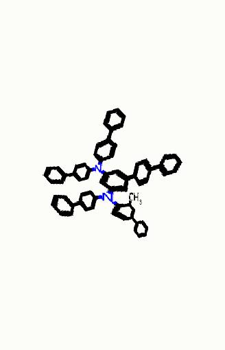 CC1C=C(c2ccccc2)C=CC1N(c1ccc(-c2ccccc2)cc1)c1cc(-c2ccc(-c3ccccc3)cc2)cc(N(c2ccc(-c3ccccc3)cc2)c2ccc(-c3ccccc3)cc2)c1